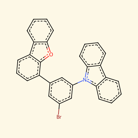 Brc1cc(-c2cccc3c2oc2ccccc23)cc(-n2c3ccccc3c3ccccc32)c1